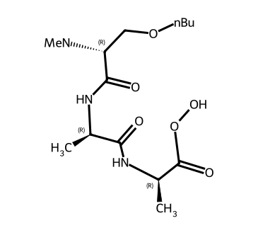 CCCCOC[C@@H](NC)C(=O)N[C@H](C)C(=O)N[C@H](C)C(=O)OO